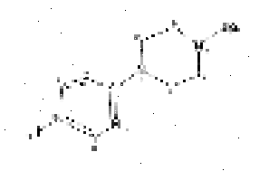 CC(C)(C)N1CCN(c2ccc(I)nn2)CC1